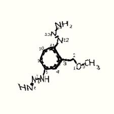 COCc1cc(NN=N)ccc1N=NN